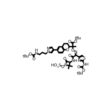 CC(C)(C)OC(=O)NCCCn1cc(-c2ccc3c(c2)CCC(C(C)(O/N=C(\C(=O)NC2C(=O)N(OS(=O)(=O)O)C2(C)C)c2csc(NC(=O)OC(C)(C)C)n2)C(=O)OC(C)(C)C)O3)cn1